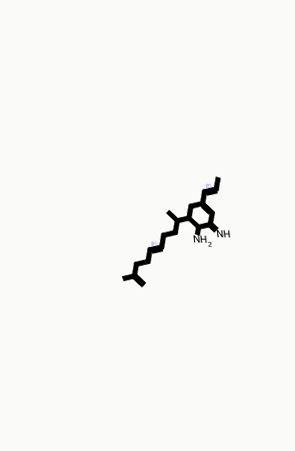 C=C(C)CC/C=C/CCC(C)C1CC(/C=C/C)=CC(=N)C1N